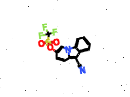 N#Cc1c2ccccc2n2cc(OS(=O)(=O)C(F)(F)F)ccc12